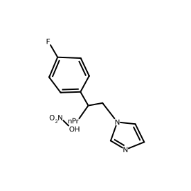 CCCC(Cn1ccnc1)c1ccc(F)cc1.O=[N+]([O-])O